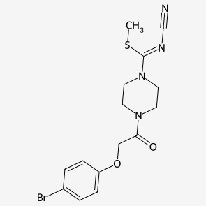 CSC(=NC#N)N1CCN(C(=O)COc2ccc(Br)cc2)CC1